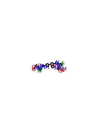 COC(=O)N[C@H](C(=O)N1CC(F)(F)C[C@H]1c1ncc(-c2ccc(-c3ccc(-c4cnc([C@@H]5CC(F)(F)CN5C(=O)[C@@H](NC(=O)OC)C(C)C)[nH]4)c4c3C3CCC4CC3)cc2)[nH]1)C(C)C